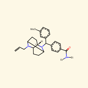 C=CCN1C2CC[C@H]3C1CCC2N3C(c1ccc(C(=O)N(CC)CC)cc1)c1cccc(OC)c1